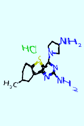 CC1CCc2sc3c(N4CC[C@@H](N)C4)nc(N)nc3c2C1.Cl